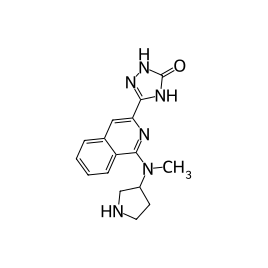 CN(c1nc(-c2n[nH]c(=O)[nH]2)cc2ccccc12)C1CCNC1